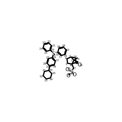 CC1(C)C2CCC1(CS(=O)(=O)[O-])C(=O)C2.c1ccc([S+](c2ccccc2)c2ccc(C3CCCCC3)cc2)cc1